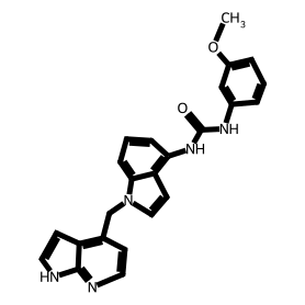 COc1cccc(NC(=O)Nc2cccc3c2ccn3Cc2ccnc3[nH]ccc23)c1